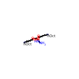 CCCCCCCC/C=C\CCCCCCCC(=O)OCC(COC(=O)CCCCCCC/C=C\CCCCCCCC)OC(=O)NCCN